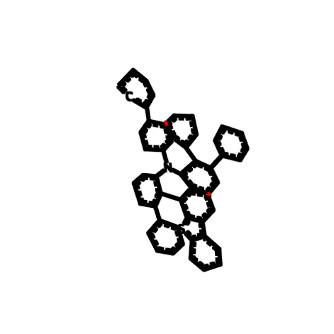 c1ccc(-c2ccc(N(c3cccc(-c4ccccc4)c3-c3ccccc3)c3cccc(-c4ccccc4)c3-c3cccc4c3sc3ccccc34)cc2)cc1